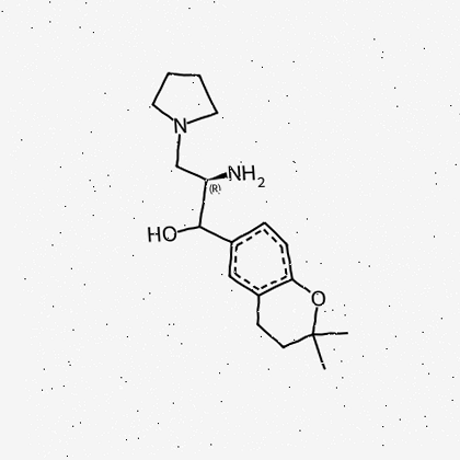 CC1(C)CCc2cc(C(O)[C@H](N)CN3CCCC3)ccc2O1